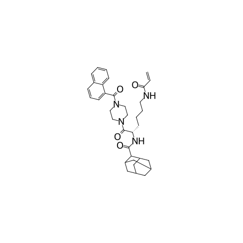 C=CC(=O)NCCCC[C@H](NC(=O)C1C2CC3CC(C2)CC1C3)C(=O)N1CCN(C(=O)c2cccc3ccccc23)CC1